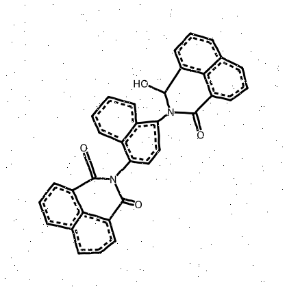 O=C1c2cccc3cccc(c23)C(=O)N1c1ccc(N2C(=O)c3cccc4cccc(c34)C2O)c2ccccc12